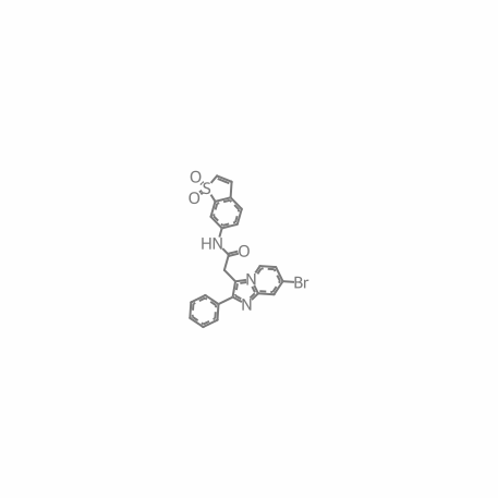 O=C(Cc1c(-c2ccccc2)nc2cc(Br)ccn12)Nc1ccc2c(c1)S(=O)(=O)C=C2